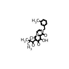 Cc1cccc(Cn2ccn3cc(C(=O)C(C)(C)C)c(=O)c(O)c3c2=O)c1